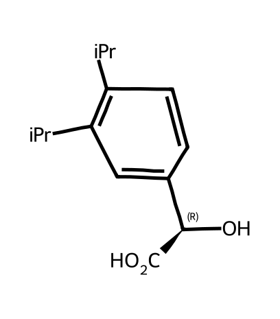 CC(C)c1ccc([C@@H](O)C(=O)O)cc1C(C)C